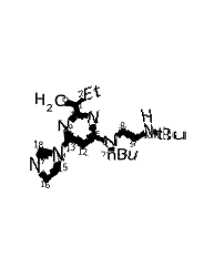 C=C(CC)c1nc(N(CCCC)CCNC(C)(C)C)cc(-n2ccnc2)n1